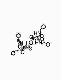 O=C(NCCc1ccccc1)[C@@H]1CN(C(=O)c2ccc(C(=O)N3C[C@@H](C(=O)NCCc4ccccc4)[C@H](C(=O)N[C@H]4C[C@@H]4c4ccccc4)C3)cc2)C[C@H]1C(=O)NCCc1ccccc1